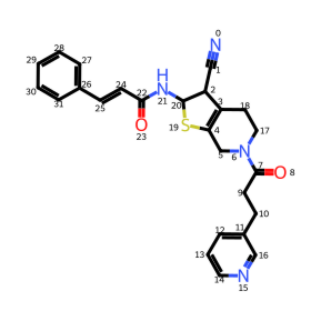 N#CC1C2=C(CN(C(=O)CCc3cccnc3)CC2)SC1NC(=O)/C=C/c1ccccc1